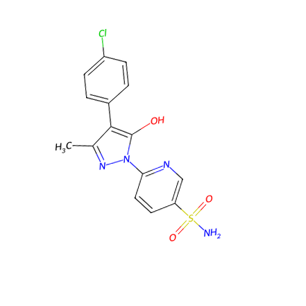 Cc1nn(-c2ccc(S(N)(=O)=O)cn2)c(O)c1-c1ccc(Cl)cc1